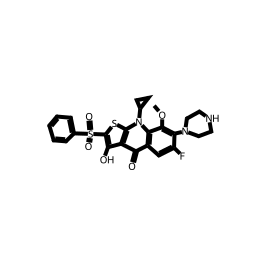 COc1c(N2CCNCC2)c(F)cc2c(=O)c3c(O)c(S(=O)(=O)c4ccccc4)sc3n(C3CC3)c12